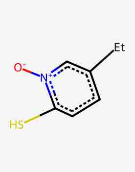 CCc1ccc(S)[n+]([O-])c1